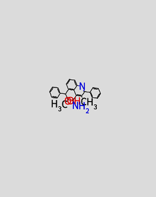 Cc1c(-c2ccccc2)nc2cccc(C(c3ccccc3)C(C)O)c2c1C(N)=O